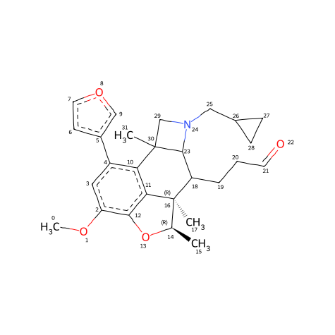 COc1cc(-c2ccoc2)c2c3c1O[C@H](C)[C@]3(C)C(CCC=O)C1N(CC3CC3)CC21C